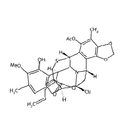 C=CCN1[C@@H]2Cc3cc(C)c(OC)c(O)c3[C@H]1C1[C@@H]3SCC(=O)C(=O)OC[C@@H](c4c5c(c(C)c(OC(C)=O)c43)OCO5)N1[C@H]2C#N